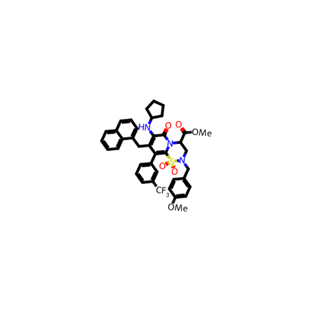 COC(=O)C1CN(Cc2ccc(OC)cc2)S(=O)(=O)c2c(-c3cccc(C(F)(F)F)c3)c(Cc3cccc4ccccc34)c(NC3CCCC3)c(=O)n21